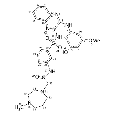 COc1cc(O)cc(Nc2nc3ccccc3nc2NS(=O)(=O)c2cccc(NC(=O)CN3CCCN(C)CC3)c2)c1